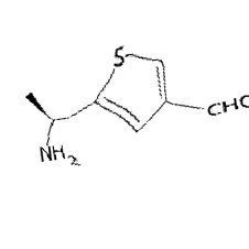 C[C@H](N)c1cc(C=O)cs1